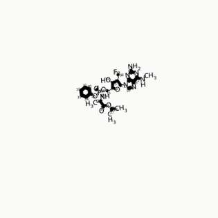 CNc1nc(N)nc2c1ncn2[C@@H]1O[C@H](CO[P@](=O)(N[C@@H](C)C(=O)OC(C)C)Oc2ccccc2)[C@@H](O)[C@@H]1CF